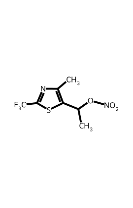 Cc1nc(C(F)(F)F)sc1C(C)O[N+](=O)[O-]